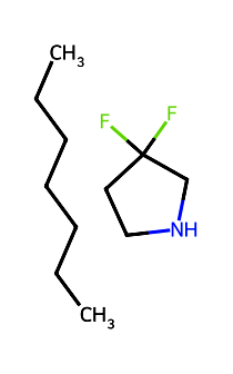 CCCCCCC.FC1(F)CCNC1